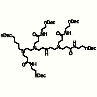 CCCCCCCCCCCCCCN(CCC(=O)NCCCCCCCCCCCC)CCN(CCNCCN(CCC(=O)NCCCCCCCCCCCC)CCC(=O)NCCCCCCCCCCCC)CCC(=O)NCCCCCCCCCCCC